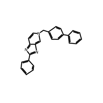 c1ccc(-c2ccc(Cn3ccc4nc(-c5ccccc5)nc-4c3)cc2)cc1